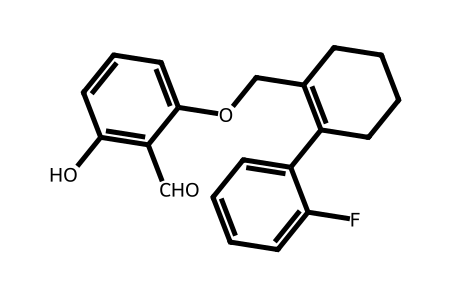 O=Cc1c(O)cccc1OCC1=C(c2ccccc2F)CCCC1